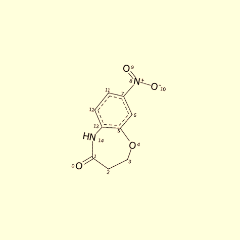 O=C1CCOc2cc([N+](=O)[O-])ccc2N1